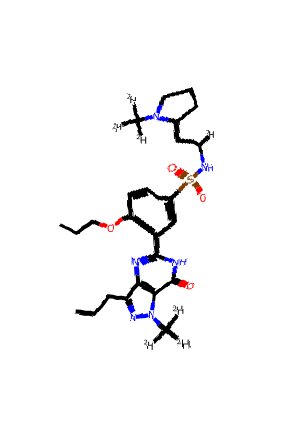 [2H]C(CC1CCCN1C([2H])([2H])[2H])NS(=O)(=O)c1ccc(OCCC)c(-c2nc3c(CCC)nn(C([2H])([2H])[2H])c3c(=O)[nH]2)c1